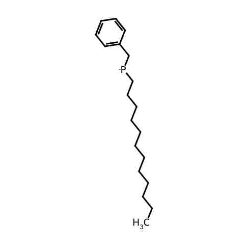 CCCCCCCCCCCC[P]Cc1ccccc1